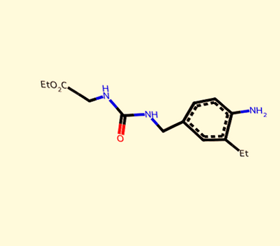 CCOC(=O)CNC(=O)NCc1ccc(N)c(CC)c1